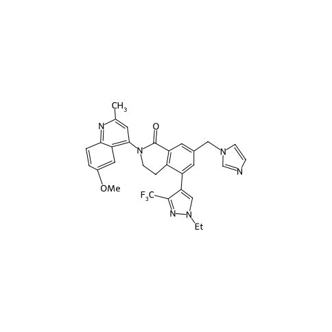 CCn1cc(-c2cc(Cn3ccnc3)cc3c2CCN(c2cc(C)nc4ccc(OC)cc24)C3=O)c(C(F)(F)F)n1